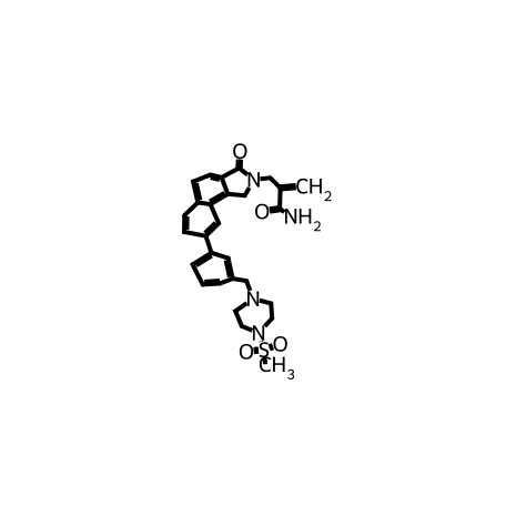 C=C(CN1Cc2c(ccc3ccc(-c4cccc(CN5CCN(S(C)(=O)=O)CC5)c4)cc23)C1=O)C(N)=O